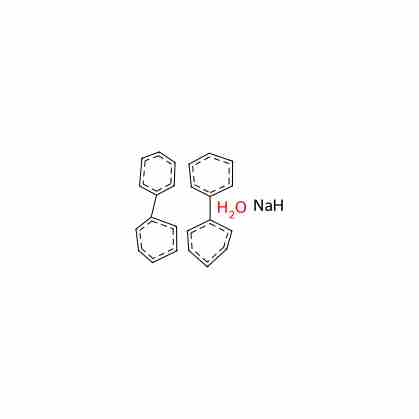 O.[NaH].c1ccc(-c2ccccc2)cc1.c1ccc(-c2ccccc2)cc1